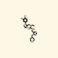 CCN(Cc1ncnn1-c1ccc(Cl)c(F)c1)C(=O)NCc1ncnn1CC1CCOCC1